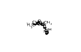 Cc1nc(N2CC(c3nc4ccccc4[nH]3)C2)cc(N2CC(CC(C)C)CC2=O)n1